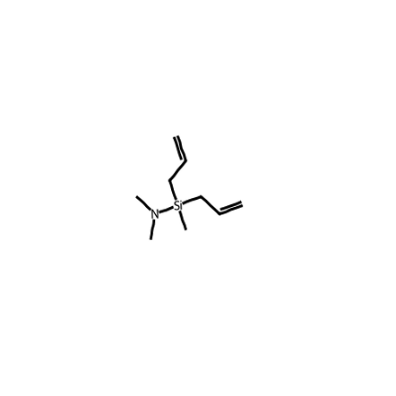 C=CC[Si](C)(CC=C)N(C)C